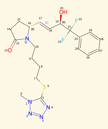 Cn1nnnc1SCCCCN1C(=O)CC[C@@H]1/C=C/[C@@H](O)C(F)(F)c1ccccc1